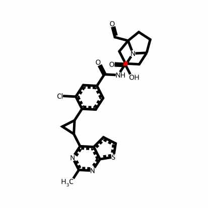 Cc1nc(C2CC2c2ccc(C(=O)NC3CC4CCC(C=O)(C3)N4C(=O)O)cc2Cl)c2ccsc2n1